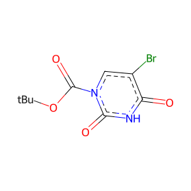 CC(C)(C)OC(=O)n1cc(Br)c(=O)[nH]c1=O